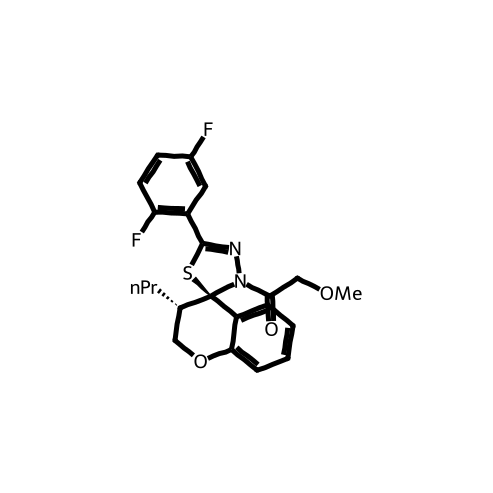 CCC[C@H]1COc2ccccc2[C@]12SC(c1cc(F)ccc1F)=NN2C(=O)COC